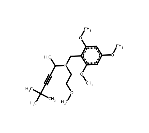 COCCN(Cc1c(OC)cc(OC)cc1OC)C(C)C#CC(C)(C)C